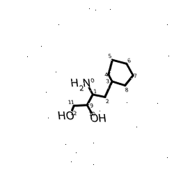 NC(CC1CCCCC1)C(O)CO